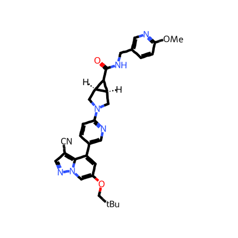 COc1ccc(CNC(=O)C2[C@H]3CN(c4ccc(-c5cc(OCC(C)(C)C)cn6ncc(C#N)c56)cn4)C[C@@H]23)cn1